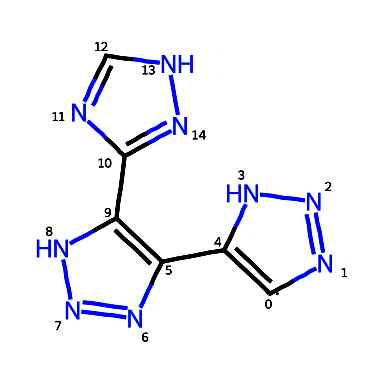 [c]1nn[nH]c1-c1nn[nH]c1-c1nc[nH]n1